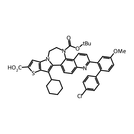 COc1ccc(-c2ccc(Cl)cc2)c(-c2ccc3c4c(ccc3n2)-c2c(C3CCCCC3)c3sc(C(=O)O)cc3n2CCN4C(=O)OC(C)(C)C)c1